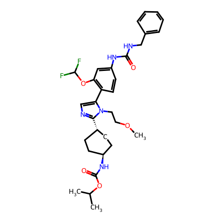 COCCn1c(-c2ccc(NC(=O)NCc3ccccc3)cc2OC(F)F)cnc1[C@H]1CC[C@H](NC(=O)OC(C)C)CC1